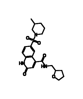 CC1CCCN(S(=O)(=O)c2ccc3[nH]c(=O)cc(C(=O)NCC4CCCO4)c3c2)C1